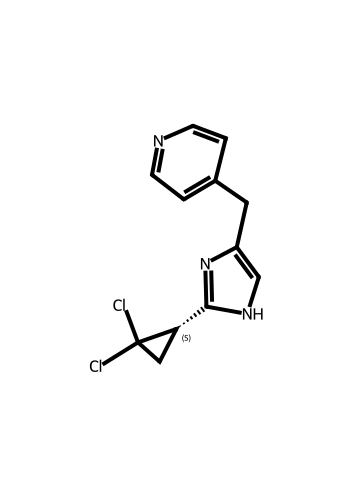 ClC1(Cl)C[C@H]1c1nc(Cc2ccncc2)c[nH]1